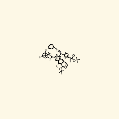 COc1c(C[C@H](NC(=O)/C(=N\OCc2ccccc2)c2csc(NC(=O)OC(C)(C)C)n2)B2OC3C[C@H]4C[C@@H](C4(C)C)[C@]3(C)O2)ccc(C=O)c1C(=O)OC(C)(C)C